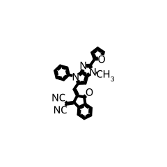 Cn1c(-c2ccco2)nc2c1cc(/C=C1\C(=O)c3ccccc3C1=C(C#N)C#N)n2-c1ccccc1